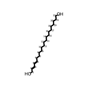 OCC=CC=CCCCCCCCCCCCCCCCCCO